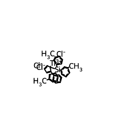 Cc1cccc([Si](c2cccc(C)c2)(c2cccc(C)c2)[C]2([Ti+3])C=CC=C2c2ccccc2)c1.[Cl-].[Cl-].[Cl-]